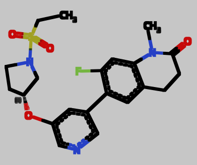 CCS(=O)(=O)N1CC[C@@H](Oc2cncc(-c3cc4c(cc3F)N(C)C(=O)CC4)c2)C1